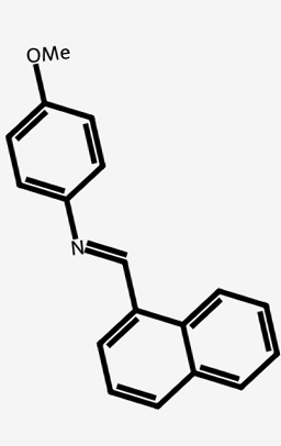 COc1ccc(N=Cc2cccc3ccccc23)cc1